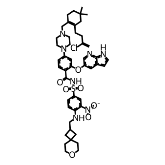 C=C(Cl)CCC1=C(CN2CCN(c3ccc(C(=O)NS(=O)(=O)c4ccc(NCC5CC6(CCOCC6)C5)c([N+](=O)[O-])c4)c(Oc4cnc5[nH]ccc5c4)c3)CC2)CCC(C)(C)C1